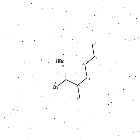 Br.CCCCC(C)[CH2][Zn]